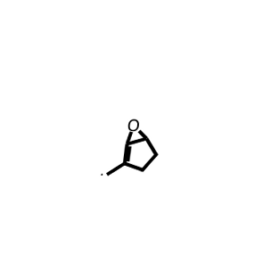 [CH2]C1=C2OC2CC1